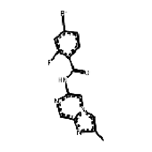 Cc1cn2cc(NC(=O)c3ccc(Br)cc3F)ncc2n1